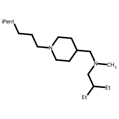 CCCC(C)CCCN1CCC(CN(C)CC(CC)CC)CC1